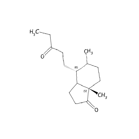 CCC(=O)CC[C@@H]1C(C)CC[C@]2(C)C(=O)CCC12